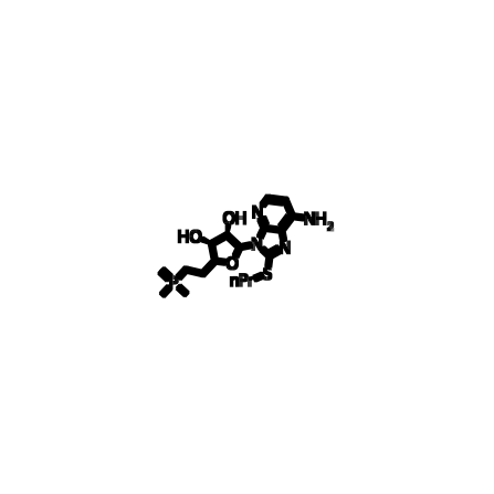 C=P(C)(C)CCC1OC(n2c(SCCC)nc3c(N)ccnc32)[C@H](O)[C@@H]1O